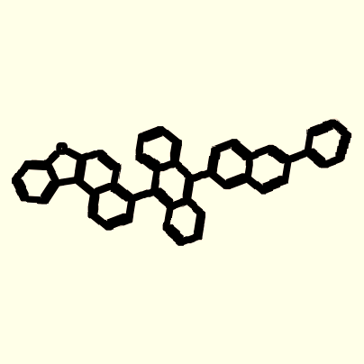 c1ccc(-c2ccc3cc(-c4c5ccccc5c(-c5cccc6c5ccc5oc7ccccc7c56)c5ccccc45)ccc3c2)cc1